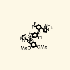 COc1ccc(CN(c2nncs2)S(=O)(=O)c2cc(Cl)c(OC3CC(F)(F)CCC3c3ccnn3C)cc2F)c(OC)c1